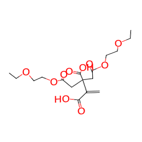 C=C(C(=O)O)C(CC(=O)OCCOCC)(CC(=O)OCCOCC)C(=O)O